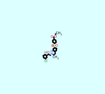 CCOC(=O)c1ccc(S(=O)(=O)c2ccc(C[C@H](C)NC[C@H](O)c3cccc(Cl)c3)cc2)cc1